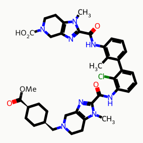 COC(=O)[C@H]1CC[C@@H](CN2CCc3c(nc(C(=O)Nc4cccc(-c5cccc(NC(=O)c6nc7c(n6C)CCN(C(=O)O)C7)c5C)c4Cl)n3C)C2)CC1